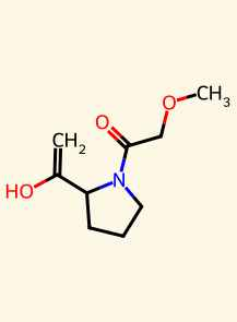 C=C(O)C1CCCN1C(=O)COC